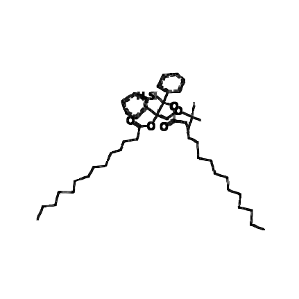 CCCCCCCCCCCCCC(=O)OC([SiH3])(c1ccccc1)C(COC(C)(C)C)(OC(=O)CCCCCCCCCCCCC)c1ccccc1